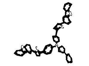 c1ccc(-c2ccc(N(c3ccc(-c4ccc(-c5ccc6oc7ccccc7c6c5)s4)cc3)c3ccc(-c4ccc(-c5ccc6oc7ccccc7c6c5)s4)cc3)cc2)cc1